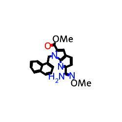 CO/N=C(\N)c1ccc2cc(C(=O)OC)n(Cc3cccc4ccccc34)c2n1